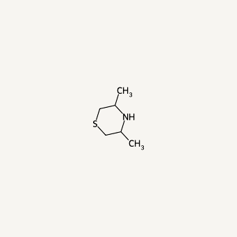 CC1CSCC(C)N1